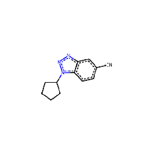 N#Cc1ccc2c(c1)nnn2C1CCCC1